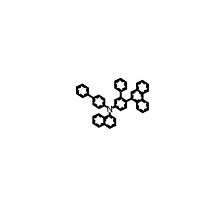 c1ccc(-c2ccc(N(c3ccc(-c4cc5ccccc5c5ccccc45)c(-c4ccccc4)c3)c3cccc4ccccc34)cc2)cc1